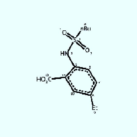 CCCCS(=O)(=O)Nc1ccc(CC)cc1C(=O)O